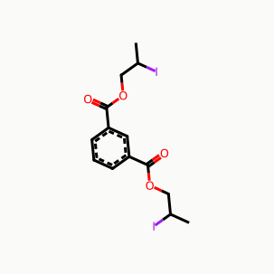 CC(I)COC(=O)c1cccc(C(=O)OCC(C)I)c1